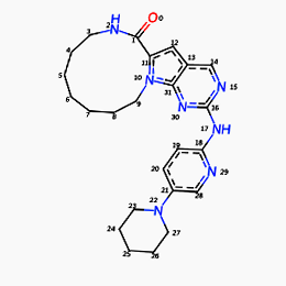 O=C1NCCCCCCCn2c1cc1cnc(Nc3ccc(N4CCCCC4)cn3)nc12